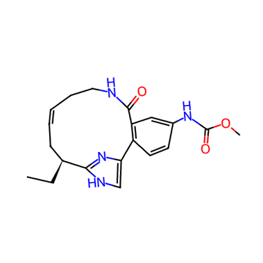 CC[C@H]1C/C=C\CCNC(=O)c2cc(NC(=O)OC)ccc2-c2c[nH]c1n2